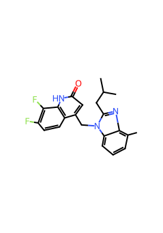 Cc1cccc2c1nc(CC(C)C)n2Cc1cc(=O)[nH]c2c(F)c(F)ccc12